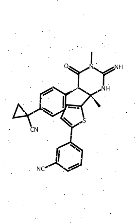 CN1C(=N)N[C@](C)(c2ccc(-c3cccc(C#N)c3)s2)[C@@H](c2ccc(C3(C#N)CC3)cc2)C1=O